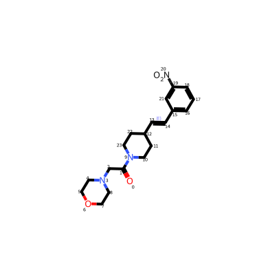 O=C(CN1CCOCC1)N1CCC(/C=C/c2cccc([N+](=O)[O-])c2)CC1